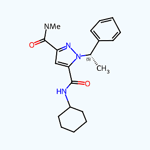 CNC(=O)c1cc(C(=O)NC2CCCCC2)n([C@@H](C)c2ccccc2)n1